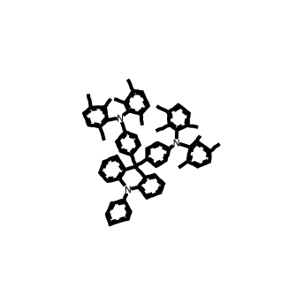 Cc1ccc(C)c(N(c2ccc(C3(c4ccc(N(c5c(C)ccc(C)c5C)c5c(C)ccc(C)c5C)cc4)c4ccccc4N(c4ccccc4)c4ccccc43)cc2)c2c(C)ccc(C)c2C)c1C